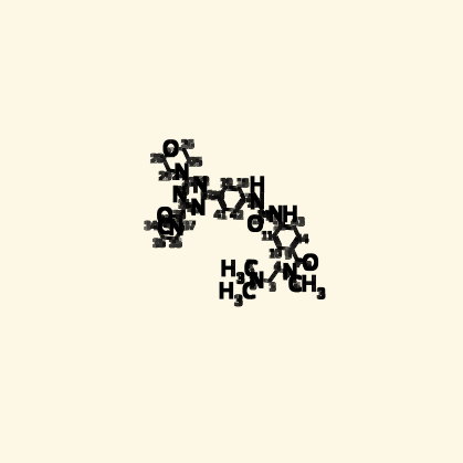 CN(C)CCN(C)C(=O)c1ccc(NC(=O)Nc2ccc(-c3nc(N4CCOCC4)nc(N4CC5CCC4CO5)n3)cc2)cc1